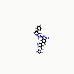 Fc1ccc(-c2ccnc3[nH]c(-c4n[nH]c5cc(F)c(-c6cncc(CN7CCCC7)c6)cc45)nc23)cc1